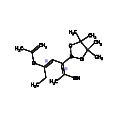 C=C(C)O/C(=C/C(B1OC(C)(C)C(C)(C)O1)=C(\C)O)CC